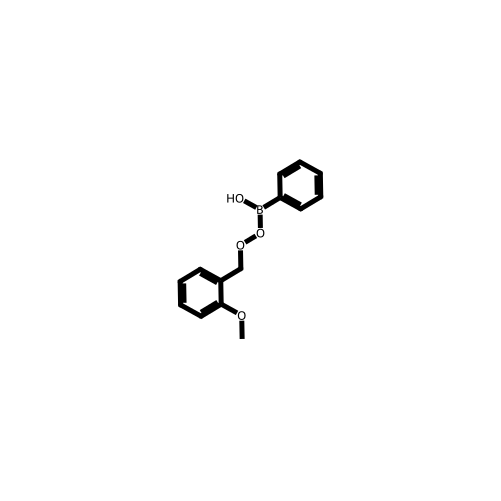 COc1ccccc1COOB(O)c1ccccc1